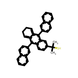 CC(C)(S)c1ccc2c(-c3ccc4ccccc4c3)c3c(c(-c4ccc5ccccc5c4)c2c1)=CCCC=3